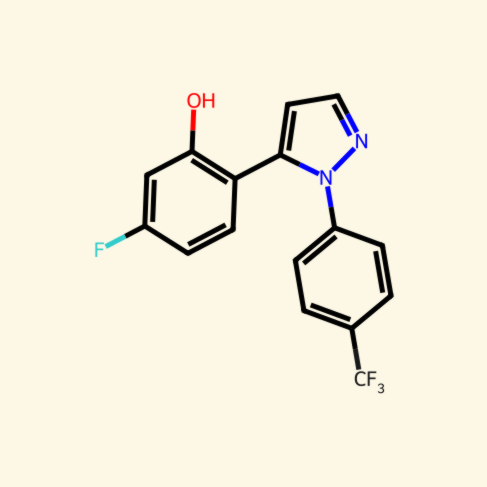 Oc1cc(F)ccc1-c1ccnn1-c1ccc(C(F)(F)F)cc1